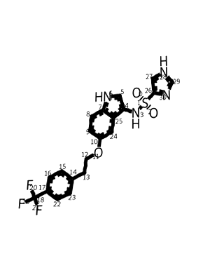 O=S(=O)(Nc1c[nH]c2ccc(OCCc3ccc(C(F)(F)F)cc3)cc12)c1c[nH]cn1